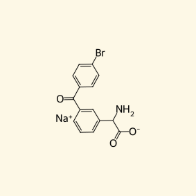 NC(C(=O)[O-])c1cccc(C(=O)c2ccc(Br)cc2)c1.[Na+]